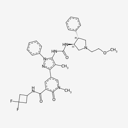 COCCN1C[C@@H](NC(=O)Nc2c(C)c(-c3cc(C(=O)NC4CC(F)(F)C4)c(=O)n(C)c3)nn2-c2ccccc2)[C@H](c2ccccc2)C1